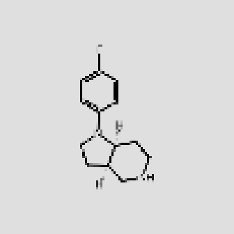 Fc1ccc(N2CC[C@@H]3CNCC[C@@H]32)cc1